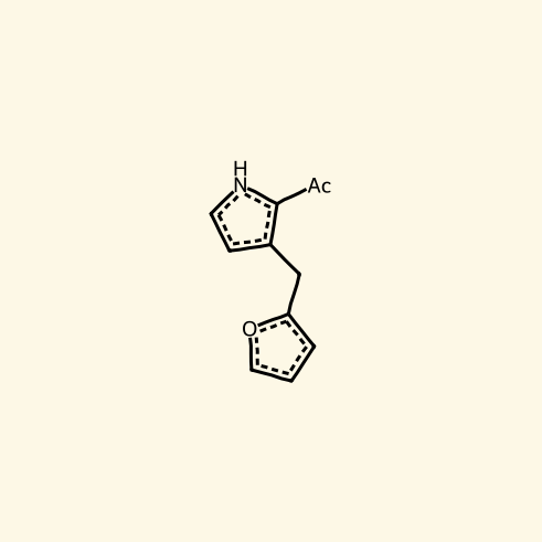 CC(=O)c1[nH]ccc1Cc1ccco1